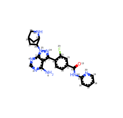 Nc1ncnc2c1c(-c1ccc(C(=O)Nc3ccccn3)cc1F)nn2C1CC2CNC1C2